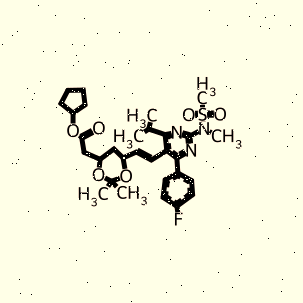 CC(C)c1nc(N(C)S(C)(=O)=O)nc(-c2ccc(F)cc2)c1/C=C/C1CC(CC(=O)OC2CCCC2)OC(C)(C)O1